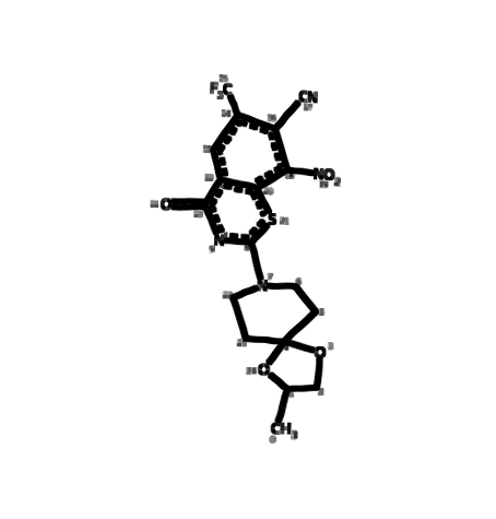 CC1COC2(CCN(c3nc(=O)c4cc(C(F)(F)F)c(C#N)c([N+](=O)[O-])c4s3)CC2)O1